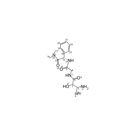 CCCC(N)C(O)C(=O)NCC(=O)N[C@H](C(=O)N(C)C)c1ccccc1